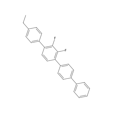 CCc1ccc(-c2ccc(-c3ccc(-c4ccccc4)cc3)c(F)c2F)cc1